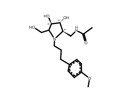 COc1ccc(CCCN2C(CO)[C@@H](O)[C@H](O)[C@H]2CNC(C)=O)cc1